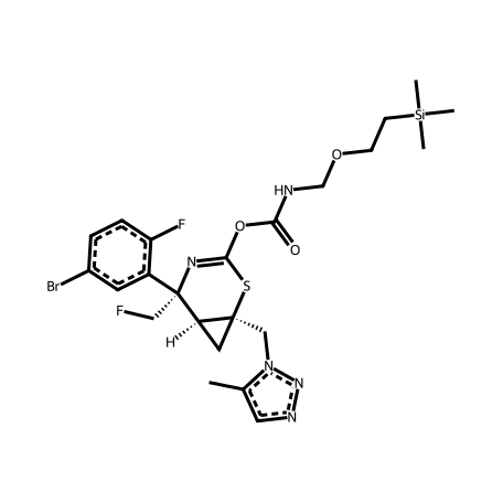 Cc1cnnn1C[C@]12C[C@H]1[C@@](CF)(c1cc(Br)ccc1F)N=C(OC(=O)NCOCC[Si](C)(C)C)S2